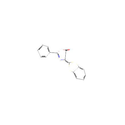 O=C1OC(c2ccccc2)=NC1=C1Sc2ccccc2S1